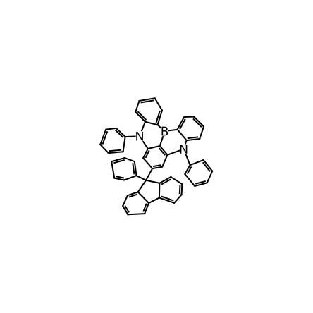 c1ccc(N2c3ccccc3B3c4ccccc4N(c4ccccc4)c4cc(C5(c6ccccc6)c6ccccc6-c6ccccc65)cc2c43)cc1